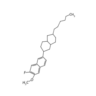 CCCCCCC1CCC2CC(c3ccc4cc(OC)c(F)cc4c3)CCC2C1